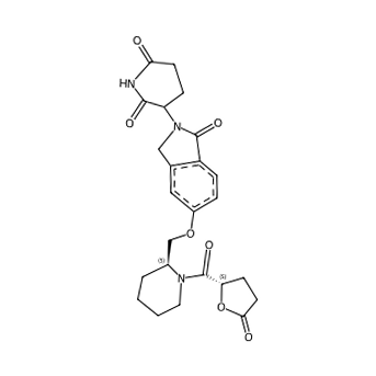 O=C1CCC(N2Cc3cc(OC[C@@H]4CCCCN4C(=O)[C@@H]4CCC(=O)O4)ccc3C2=O)C(=O)N1